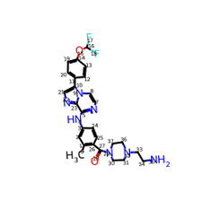 Cc1cc(Nc2nccn3c(-c4ccc(OC(F)F)cc4)cnc23)ccc1C(=O)N1CCN(CCN)CC1